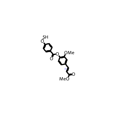 COC(=O)/C=C/c1ccc(OC(=O)c2ccc(OS)cc2)c(OC)c1